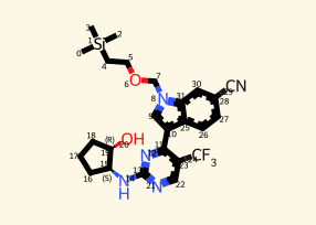 C[Si](C)(C)CCOCn1cc(-c2nc(N[C@H]3CCC[C@H]3O)ncc2C(F)(F)F)c2ccc(C#N)cc21